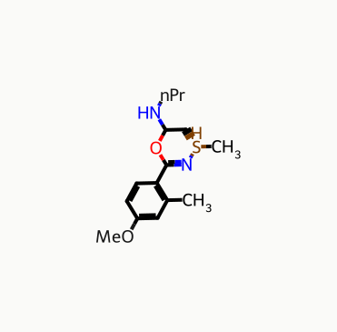 CCCNC1C#[SH](C)N=C(c2ccc(OC)cc2C)O1